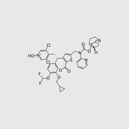 O=C([O-])c1sc(CN(C(=O)O[C@H]2CN3CCC2CC3)c2ccccn2)cc1[C@@H](Cc1c(Cl)c[n+](O)cc1Cl)c1ccc(OC(F)F)c(OCC2CC2)c1